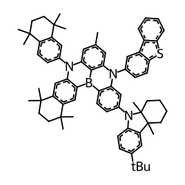 Cc1cc2c3c(c1)N(c1ccc4c(c1)C(C)(C)CCC4(C)C)c1cc4c(cc1B3c1ccc(N3c5ccc(C(C)(C)C)cc5C5(C)CCCCC35C)cc1N2c1ccc2sc3ccccc3c2c1)C(C)(C)CCC4(C)C